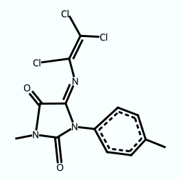 Cc1ccc(N2C(=O)N(C)C(=O)C2=NC(Cl)=C(Cl)Cl)cc1